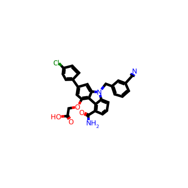 N#Cc1cccc(Cn2c3cc(-c4ccc(Cl)cc4)cc(OCC(=O)O)c3c3c(C(N)=O)cccc32)c1